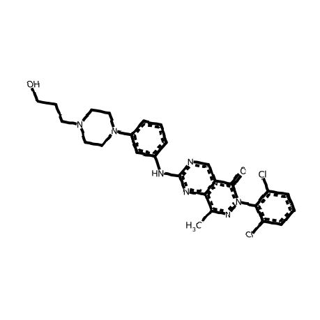 Cc1nn(-c2c(Cl)cccc2Cl)c(=O)c2cnc(Nc3cccc(N4CCN(CCCO)CC4)c3)nc12